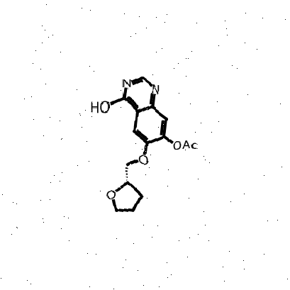 CC(=O)Oc1cc2ncnc(O)c2cc1OC[C@@H]1CCCO1